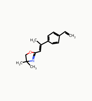 C=Cc1ccc(C(C)=CC2=NC(C)(C)CO2)cc1